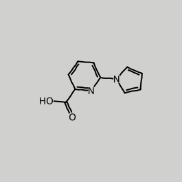 O=C(O)c1cccc(-n2cccc2)n1